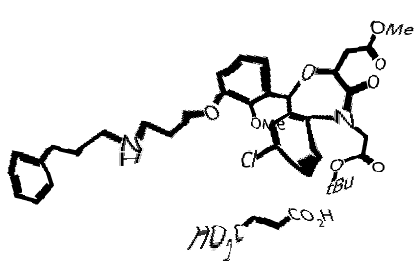 COC(=O)CC1OC(c2cccc(OCCCNCCCc3ccccc3)c2OC)c2cc(Cl)ccc2N(CC(=O)OC(C)(C)C)C1=O.O=C(O)C=CC(=O)O